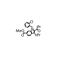 CCCc1c(C(=O)C(C)C)n(Cc2ccccc2Cl)c2cc(C(=O)OC)ccc12